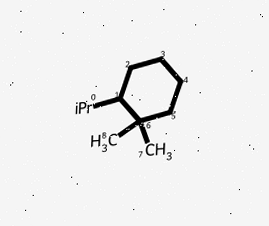 CC(C)C1CCC[CH]C1(C)C